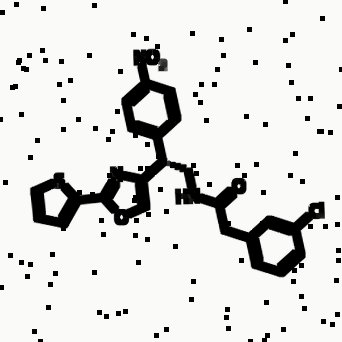 O=C(Cc1cccc(Cl)c1)NC[C@@H](c1ccc([N+](=O)[O-])cc1)c1coc(-c2cccs2)n1